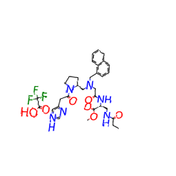 CCC(=O)NC[C@H](NC(=O)CN(Cc1cccc2ccccc12)C[C@@H]1CCCN1C(=O)Cc1c[nH]cn1)C(=O)OC.O=C(O)C(F)(F)F